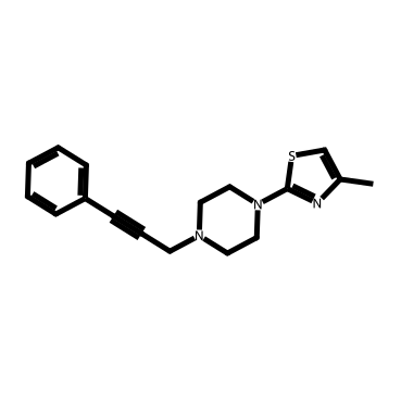 Cc1csc(N2CCN(CC#Cc3ccccc3)CC2)n1